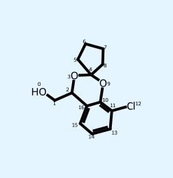 OCC1OC2(CCCC2)Oc2c(Cl)cccc21